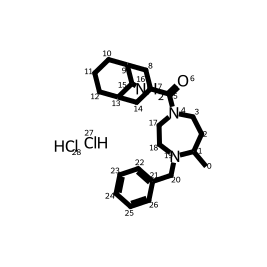 CC1CCN(C(=O)C2CC3CCCC(C2)C3N)CCN1Cc1ccccc1.Cl.Cl